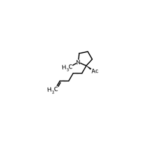 C=CCCC[C@@]1(C(C)=O)CCCN1C